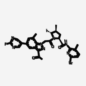 CC(=O)c1nn(CC(=O)N2[C@H](I)[C@@H](C)C[C@H]2C(=O)Nc2nc(Br)ccc2C)c2c(C)cc(-c3cnc(F)nc3)cc12